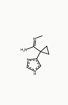 C/N=C(/N)C1(c2c[nH]cn2)CC1